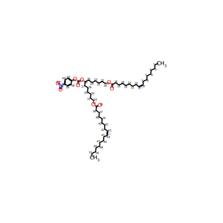 CCCCCCCC/C=C\CCCCCCCC(=O)OCCCCCCC(CCCCCCOC(=O)CCCCCCC/C=C\CCCCCCCC)OC(=O)Oc1ccc([N+](=O)[O-])cc1